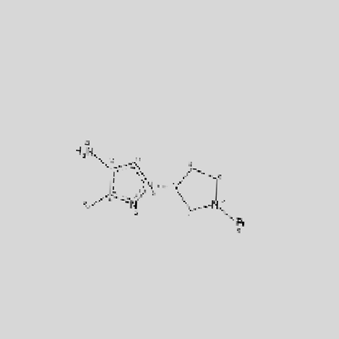 Cc1nn([C@@H]2CCN(C(C)C)C2)cc1N